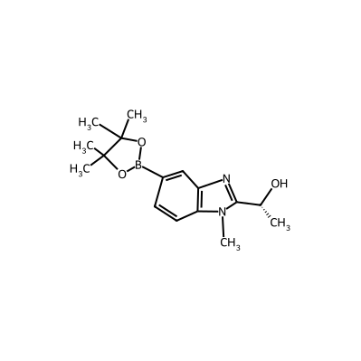 C[C@@H](O)c1nc2cc(B3OC(C)(C)C(C)(C)O3)ccc2n1C